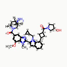 COc1cc(C(=O)N2C[C@H]3CC[C@@H]2C[C@@H]3N)cc2nc(-c3cc4cccc(C5CC(C(=O)N6CC[C@H](O)C6)C5)c4n3CC3CC3)n(C)c12